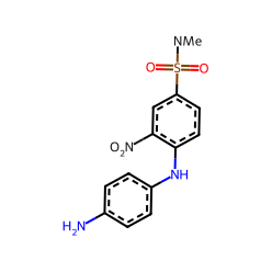 CNS(=O)(=O)c1ccc(Nc2ccc(N)cc2)c([N+](=O)[O-])c1